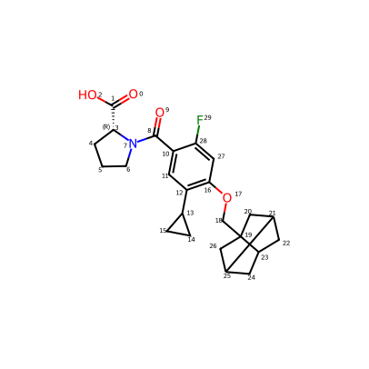 O=C(O)[C@H]1CCCN1C(=O)c1cc(C2CC2)c(OCC23CC4CC2CC4C3)cc1F